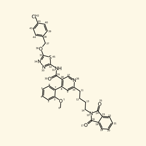 COc1ccccc1-c1cc(CCCCN2C(=O)c3ccccc3C2=O)ncc1C(=O)Nc1nnc(OCc2ccc(Cl)cc2)s1